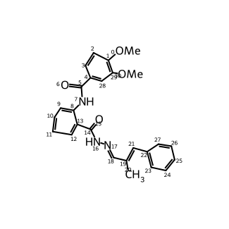 COc1ccc(C(=O)Nc2ccccc2C(=O)NN=CC(C)=Cc2ccccc2)cc1OC